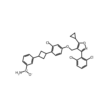 N[S+]([O-])c1cccc(C2CC(c3ccc(OCc4c(-c5c(Cl)cccc5Cl)noc4C4CC4)cc3Cl)C2)c1